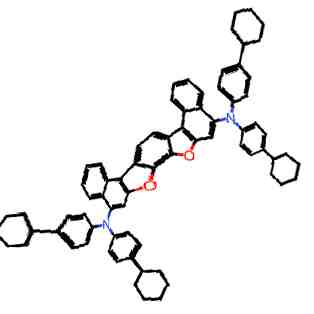 c1ccc2c(c1)c(N(c1ccc(C3CCCCC3)cc1)c1ccc(C3CCCCC3)cc1)cc1oc3c(ccc4c3oc3cc(N(c5ccc(C6CCCCC6)cc5)c5ccc(C6CCCCC6)cc5)c5ccccc5c34)c12